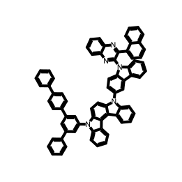 c1ccc(-c2ccc(-c3cc(-c4ccccc4)cc(-n4c5ccccc5c5c6c7ccccc7n(-c7ccc8c(c7)c7ccccc7n8-c7nc8ccccc8nc7-c7cccc8ccccc78)c6ccc54)c3)cc2)cc1